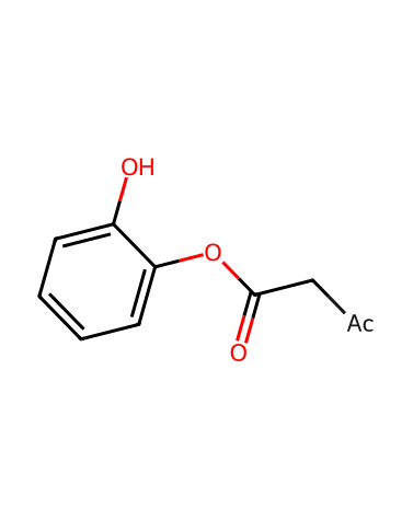 CC(=O)CC(=O)Oc1ccccc1O